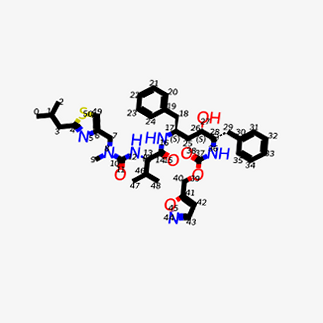 CC(C)Cc1nc(CN(C)C(=O)N[C@H](C(=O)N[C@@H](Cc2ccccc2)C[C@H](O)[C@H](Cc2ccccc2)NC(=O)OCc2ccno2)C(C)C)cs1